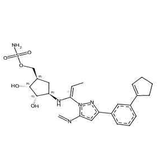 C=Nc1cc(-c2cccc(C3=CCCC3)c2)nn1/C(=C\C)N[C@@H]1C[C@H](COS(N)(=O)=O)[C@@H](O)[C@H]1O